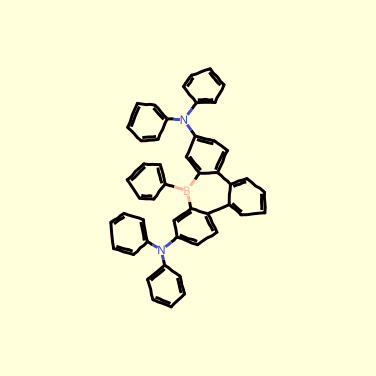 c1ccc(B2c3cc(N(c4ccccc4)c4ccccc4)ccc3-c3ccccc3-c3ccc(N(c4ccccc4)c4ccccc4)cc32)cc1